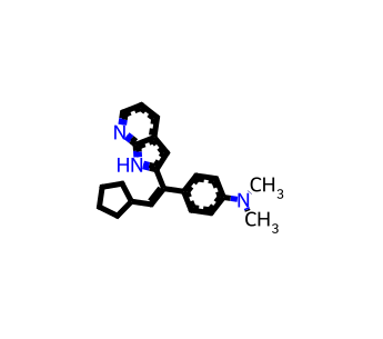 CN(C)c1ccc(/C(=C/C2CCCC2)c2cc3cccnc3[nH]2)cc1